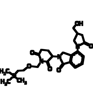 C[Si](C)(C)CCOCN1C(=O)CCC(N2Cc3c(cccc3N3CC(CO)CC3=O)C2=O)C1=O